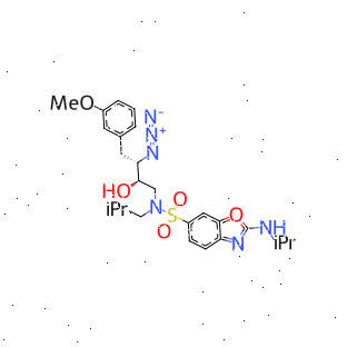 COc1cccc(C[C@H](N=[N+]=[N-])[C@H](O)CN(CC(C)C)S(=O)(=O)c2ccc3nc(NC(C)C)oc3c2)c1